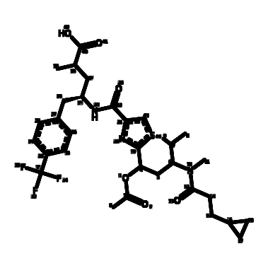 CC(=O)OC(CC(C(C)C)N(C)C(=O)CCC1CC1)c1nc(C(=O)N[C@@H](Cc2ccc(C(F)(F)F)cc2)CC(C)C(=O)O)cs1